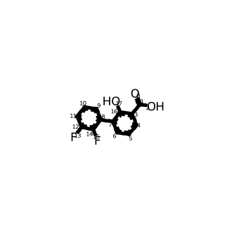 O=C(O)c1cccc(-c2cccc(F)c2F)c1O